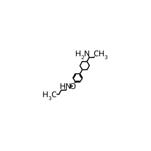 CCCCNOc1ccc(C2CCC(C(N)CC)CC2)cc1